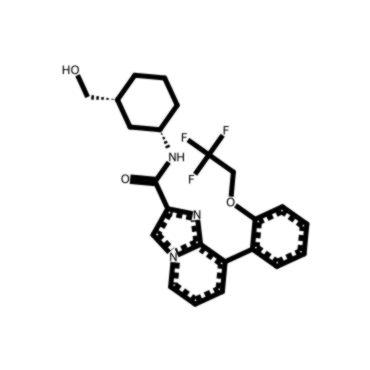 O=C(N[C@H]1CCC[C@@H](CO)C1)c1cn2cccc(-c3ccccc3OCC(F)(F)F)c2n1